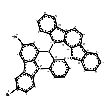 CC(C)(C)c1ccc2c(c1)c1cc(C(C)(C)C)cc3c1n2-c1ccccc1B3n1c2ccccc2c2ccc3c4ccccc4oc3c21